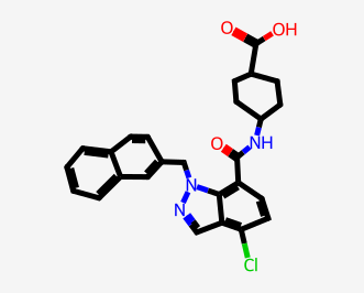 O=C(NC1CCC(C(=O)O)CC1)c1ccc(Cl)c2cnn(Cc3ccc4ccccc4c3)c12